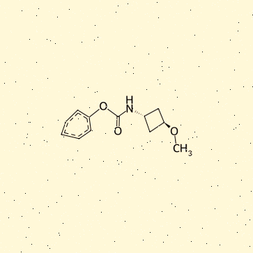 CO[C@H]1C[C@H](NC(=O)Oc2ccccc2)C1